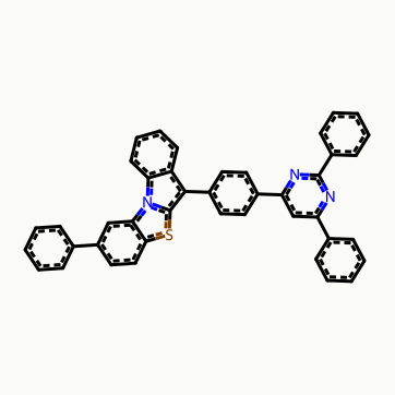 c1ccc(-c2ccc3sc4c(-c5ccc(-c6cc(-c7ccccc7)nc(-c7ccccc7)n6)cc5)c5ccccc5n4c3c2)cc1